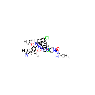 CCCNC(=O)N1CCC(N2CCN(C(=O)N3C(c4ccc(C(C)(C)C#N)cc4OCC)=N[C@@](C)(c4ccc(Cl)cc4)[C@@]3(C)c3ccc(Cl)cc3)CC2)CC1